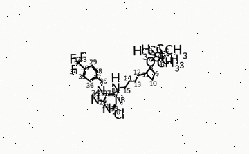 CC(C)(C)[Si](C)(C)OC1CCC1CCCCNc1nc(Cl)nc2ncn(Cc3ccc(C(F)(F)F)cc3)c12